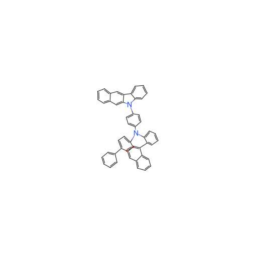 c1ccc(-c2ccc(N(c3ccc(-n4c5ccccc5c5cc6ccccc6cc54)cc3)c3ccccc3-c3cccc4ccccc34)cc2)cc1